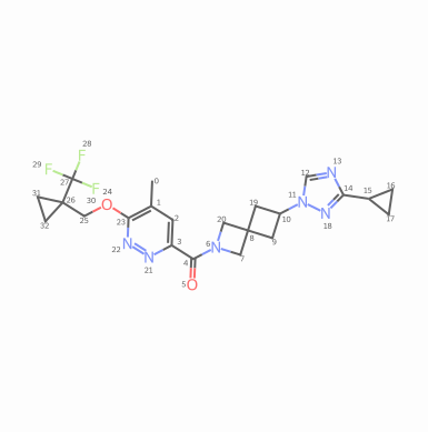 Cc1cc(C(=O)N2CC3(CC(n4cnc(C5CC5)n4)C3)C2)nnc1OCC1(C(F)(F)F)CC1